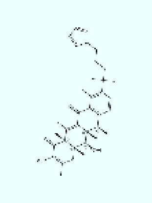 C=C1C2=C(C)[C@@]3(C)C(=C)C(C(C)=O)=C(C)C[C@@]3(C)[C@H](O)[C@@]2(C)[C@H](C)c2ccc(C(C)(C)CCCC3C=CC=C3)c(C)c21